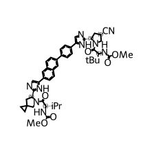 COC(=O)N[C@H](C(=O)N1CC2(CC2)C[C@H]1c1ncc(-c2ccc3cc(-c4ccc(-c5cnc([C@@H]6C[C@H](C#N)CN6C(=O)[C@@H](NC(=O)OC)C(C)(C)C)[nH]5)cc4)ccc3c2)[nH]1)C(C)C